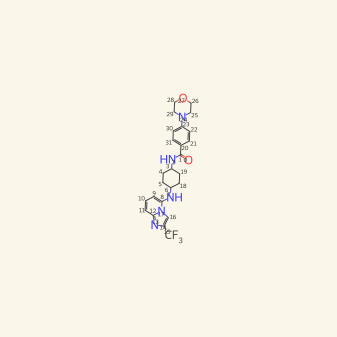 O=C(NC1CCC(Nc2cccc3nc(C(F)(F)F)cn23)CC1)c1ccc(N2CCOCC2)cc1